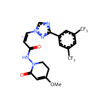 COC1=CC(=O)N(NC(=O)/C=C\n2cnc(-c3cc(C(F)(F)F)cc(C(F)(F)F)c3)n2)CC1